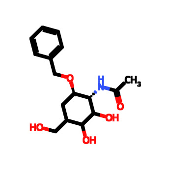 CC(=O)N[C@@H]1C(O)C(O)C(CO)C[C@H]1OCc1ccccc1